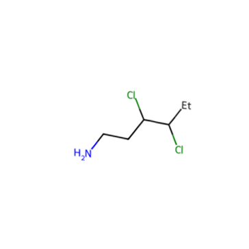 CCC(Cl)C(Cl)CCN